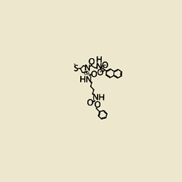 CSC1C[C@@H](C(=O)NCCCCNC(=O)OCc2ccccc2)N(C(=O)CNS(=O)(=O)c2ccc3ccccc3c2)C1